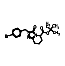 CC(C)(C)OC(=O)C1CCCc2nn(Cc3ccc(Br)cc3)c(=O)n21